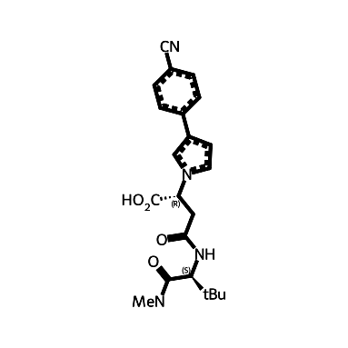 CNC(=O)[C@@H](NC(=O)C[C@H](C(=O)O)n1ccc(-c2ccc(C#N)cc2)c1)C(C)(C)C